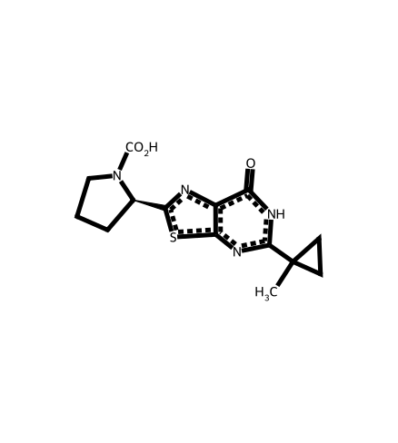 CC1(c2nc3sc([C@H]4CCCN4C(=O)O)nc3c(=O)[nH]2)CC1